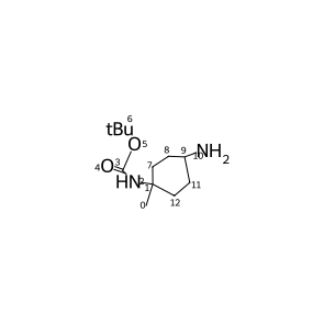 CC1(NC(=O)OC(C)(C)C)CCC(N)CC1